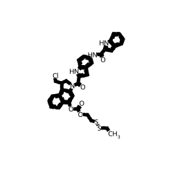 CCSSCCOC(=O)Oc1cc2c(c3ccccc13)C(CCl)CN2C(=O)c1cc2cc(NC(=O)c3cc4ccccc4[nH]3)ccc2[nH]1